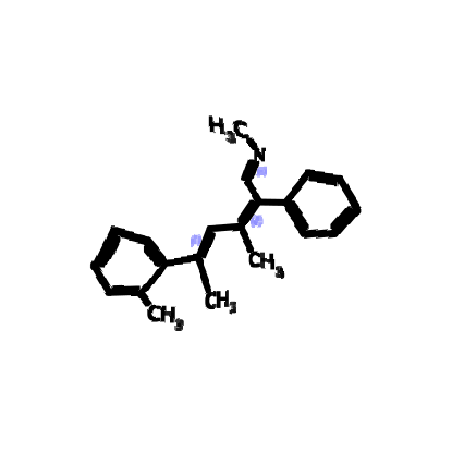 C/N=C/C(=C(C)\C=C(/C)c1ccccc1C)c1ccccc1